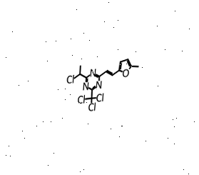 Cc1ccc(/C=C/c2nc(C(C)Cl)nc(C(Cl)(Cl)Cl)n2)o1